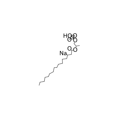 CCCCCCCCCCCCC[CH]([Na])CC(=O)OC(C)COS(=O)(=O)O